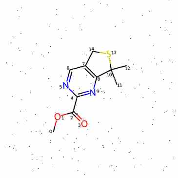 COC(=O)c1ncc2c(n1)C(C)(C)SC2